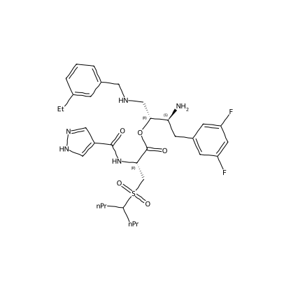 CCCC(CCC)S(=O)(=O)C[C@H](NC(=O)c1cn[nH]c1)C(=O)O[C@H](CNCc1cccc(CC)c1)[C@@H](N)Cc1cc(F)cc(F)c1